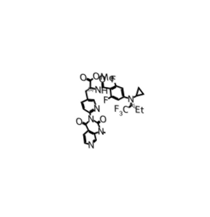 CC[C@@H](N(c1cc(F)c(C(=O)N[C@@H](Cc2ccc(-n3c(=O)c4ccncc4n(C)c3=O)nc2)C(=O)OC)c(F)c1)C1CC1)C(F)(F)F